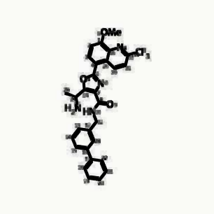 COc1ccc(-c2nc(C(=O)NCc3cccc(-c4ccccc4)c3)c([C@H](C)N)o2)c2ccc(C(F)(F)F)nc12